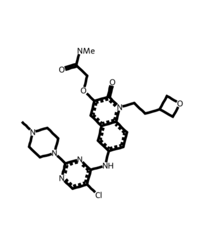 CNC(=O)COc1cc2cc(Nc3nc(N4CCN(C)CC4)ncc3Cl)ccc2n(CCC2COC2)c1=O